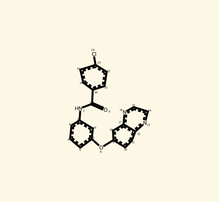 O=C(Nc1cccc(Oc2ccc3nccnc3c2)c1)c1ccc(Cl)cc1